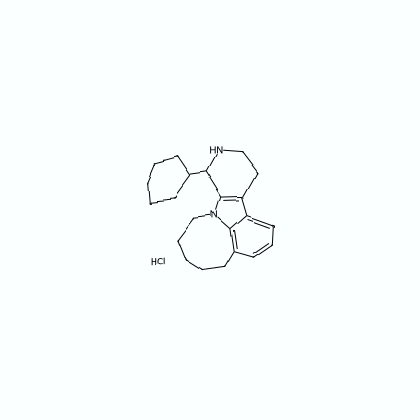 Cl.c1cc2c3c(c1)c1c(n3CCCCC2)C(C2CCCCC2)NCC1